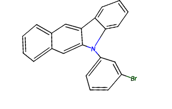 Brc1cccc(-n2c3ccccc3c3cc4ccccc4cc32)c1